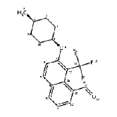 C[C@H]1CC[C@@H](Oc2ccc3cccc(C=O)c3c2C(F)(F)F)CC1